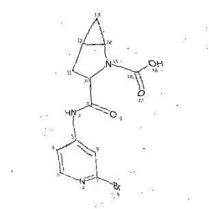 O=C(Nc1ccnc(Br)c1)C1CC2CC2N1C(=O)O